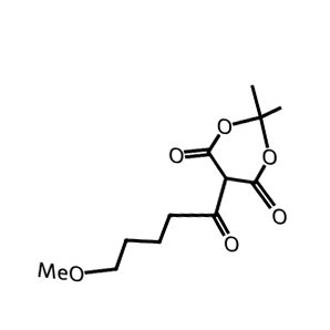 COCCCCC(=O)C1C(=O)OC(C)(C)OC1=O